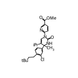 COC(=O)c1ccc(N2C=C(C(C)C)C(C)(c3ccc(CCC(C)(C)C)c(Cl)c3)NC2=O)nc1